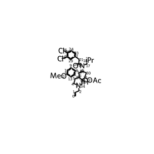 C=CCN1CC[C@@]2(c3cccc(OC)c3)C[C@H](N(CC(C)C)C(=O)Cc3ccc(Cl)c(Cl)c3)CC(OC(C)=O)[C@@H]2C1